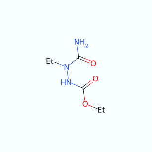 CCOC(=O)NN(CC)C(N)=O